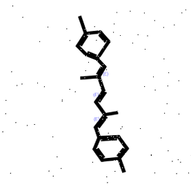 CC(/C=C/C(C)=C/c1ccc(C)cc1)=C\c1ccc(C)cc1